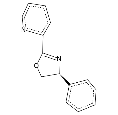 c1ccc([C@H]2COC(c3ccccn3)=N2)cc1